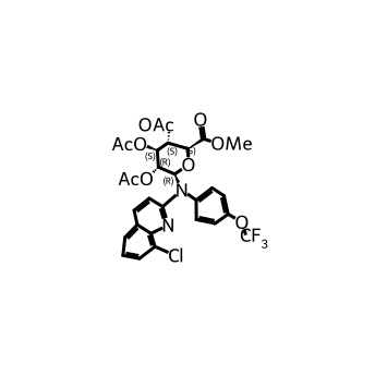 COC(=O)[C@H]1O[C@@H](N(c2ccc(OC(F)(F)F)cc2)c2ccc3cccc(Cl)c3n2)[C@H](OC(C)=O)[C@@H](OC(C)=O)[C@@H]1OC(C)=O